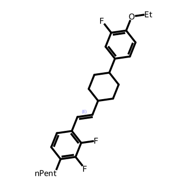 CCCCCc1ccc(/C=C/C2CCC(c3ccc(OCC)c(F)c3)CC2)c(F)c1F